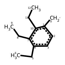 [CH2]c1ccc(CC)c(CC)c1CC